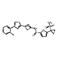 CS(=O)(=O)C1(c2ccc(C(=O)NC34CC(c5nc(-c6ccccc6Cl)cs5)(C3)C4)o2)CC1